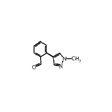 Cn1cc(-c2ccccc2C=O)cn1